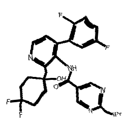 CC(C)c1ncc(C(=O)Nc2c(-c3cc(F)ccc3F)ccnc2C2(O)CCC(F)(F)CC2)cn1